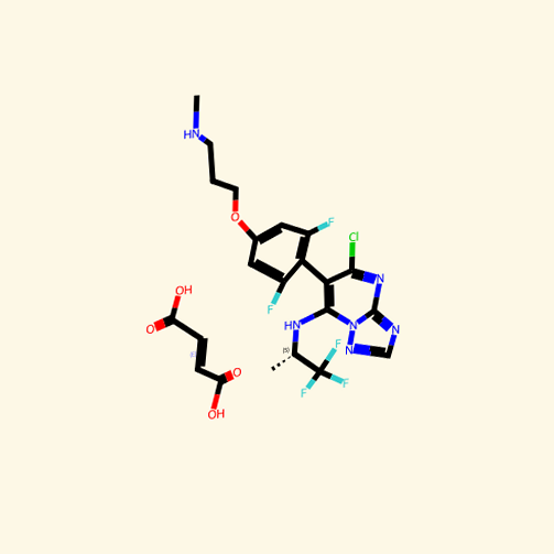 CNCCCOc1cc(F)c(-c2c(Cl)nc3ncnn3c2N[C@@H](C)C(F)(F)F)c(F)c1.O=C(O)/C=C/C(=O)O